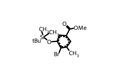 COC(=O)c1cc(C)c(Br)c(O[Si](C)(C)C(C)(C)C)c1